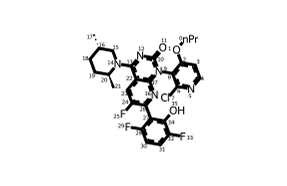 CCCOc1ccnc(Cl)c1-n1c(=O)nc(N2C[C@@H](C)CC[C@@H]2C)c2cc(F)c(-c3c(F)ccc(F)c3O)nc21